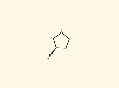 F[C@@H]1[CH]COC1